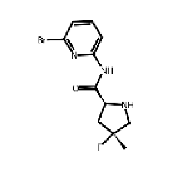 C[C@]1(F)CN[C@H](C(=O)Nc2cccc(Br)n2)C1